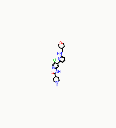 O=C(Nc1cc(-c2cccc(NCC3CCOCC3)n2)c(Cl)cn1)C1CCNCC1